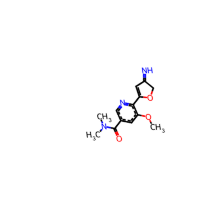 COc1cc(C(=O)N(C)C)cnc1C1=CC(=N)CO1